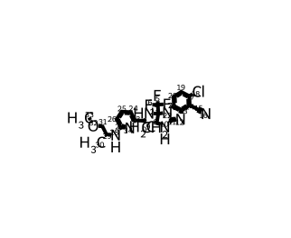 C=C(NC1(C(F)(F)F)C(=C)Nc2nc3c(C#N)c(Cl)ccc3n21)c1cccc(N[C@@H](C)COC)n1